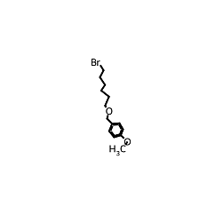 COc1ccc(COCCCCCCBr)cc1